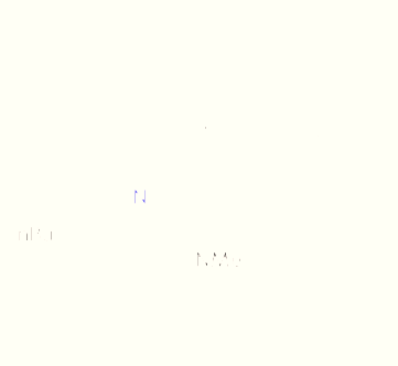 C=C(C)/C(C/C(C)=C\C)=C(\N=C(/C)CCCC)NC